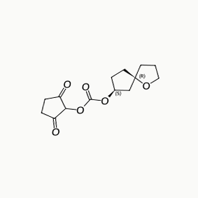 O=C(OC1C(=O)CCC1=O)O[C@H]1CC[C@]2(CCCO2)C1